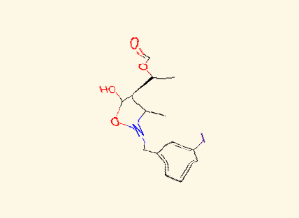 CC(OC=O)[C@@H]1C(O)ON(Cc2cccc(I)c2)C1C